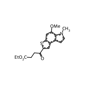 CCOC(=O)CCC(=O)c1cc2c(cc(OC)c3c2ccn3C)s1